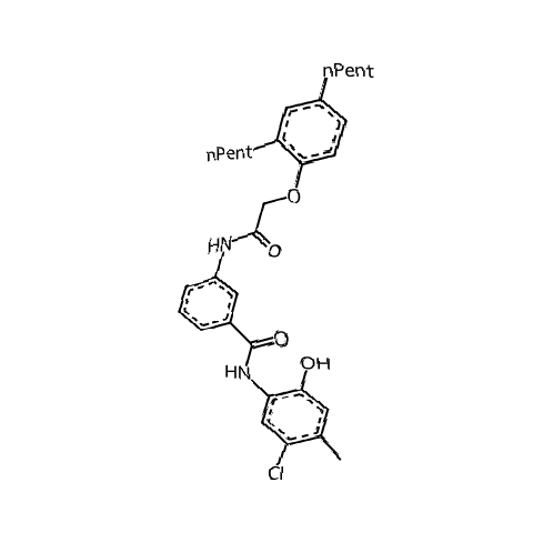 CCCCCc1ccc(OCC(=O)Nc2cccc(C(=O)Nc3cc(Cl)c(C)cc3O)c2)c(CCCCC)c1